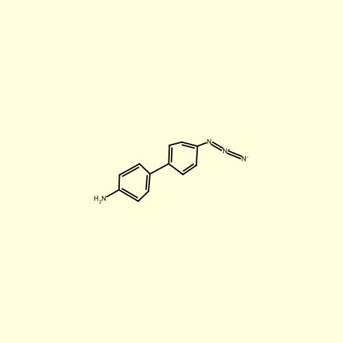 [N-]=[N+]=Nc1ccc(-c2ccc(N)cc2)cc1